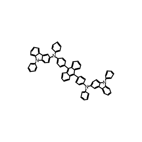 c1ccc(N(c2ccc(-c3c4ccccc4c(-c4ccc(N(c5ccccc5)c5ccc6c(c5)c5ccccc5n6-c5ccccc5)cc4)c4ccccc34)cc2)c2ccc3c(c2)c2ccccc2n3-c2ccccc2)cc1